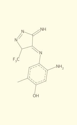 Cc1cc(N=C2C(=N)N=NC2C(F)(F)F)c(N)cc1O